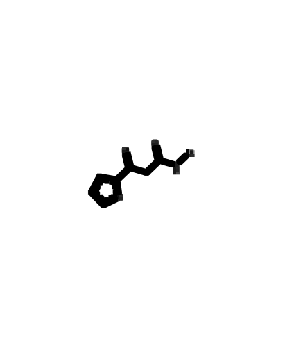 CCNC(=O)CC(=O)c1ccco1